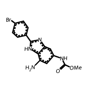 COC(=O)Nc1cc(N)c2[nH]c(-c3ccc(Br)cc3)nc2c1